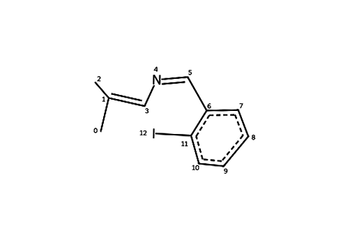 CC(C)=C/N=C\c1ccccc1I